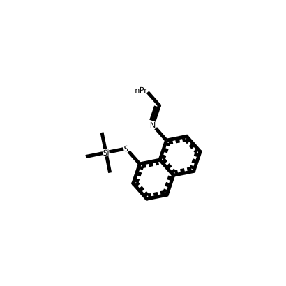 CCCC=Nc1cccc2cccc(S[Si](C)(C)C)c12